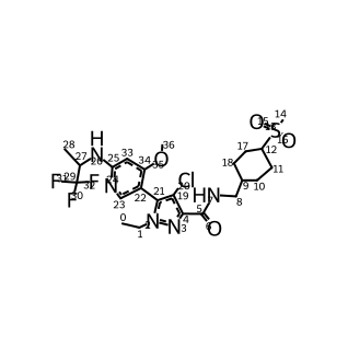 CCn1nc(C(=O)NCC2CCC(S(C)(=O)=O)CC2)c(Cl)c1-c1cnc(NC(C)C(F)(F)F)cc1OC